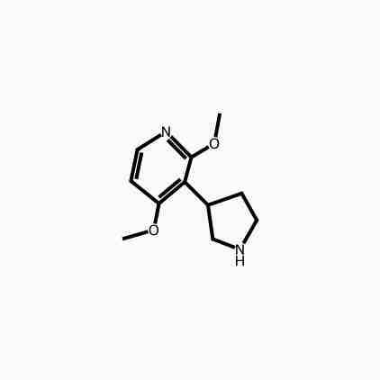 COc1ccnc(OC)c1C1CCNC1